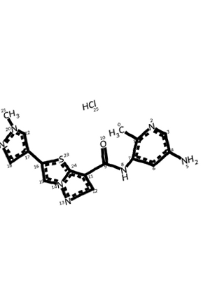 Cc1ncc(N)cc1NC(=O)c1cnn2cc(-c3cnn(C)c3)sc12.Cl